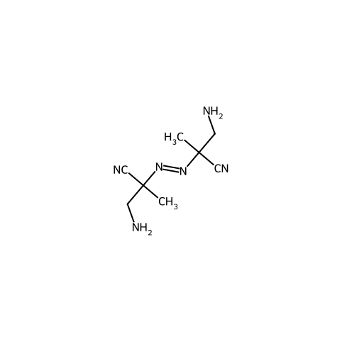 CC(C#N)(CN)N=NC(C)(C#N)CN